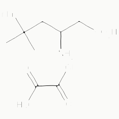 CCCC(C)(C)CC(N)CC(=O)O.O=C(O)C(=O)O